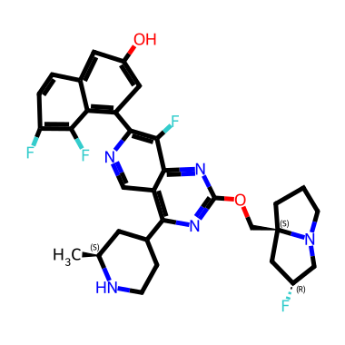 C[C@H]1CC(c2nc(OC[C@@]34CCCN3C[C@H](F)C4)nc3c(F)c(-c4cc(O)cc5ccc(F)c(F)c45)ncc23)CCN1